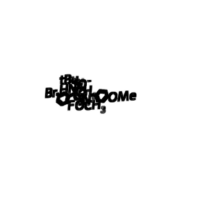 COc1ccc(CN(C)S(=O)(=O)C[C@](C)(N[S@+]([O-])C(C)(C)C)c2cc(Br)ccc2F)cc1